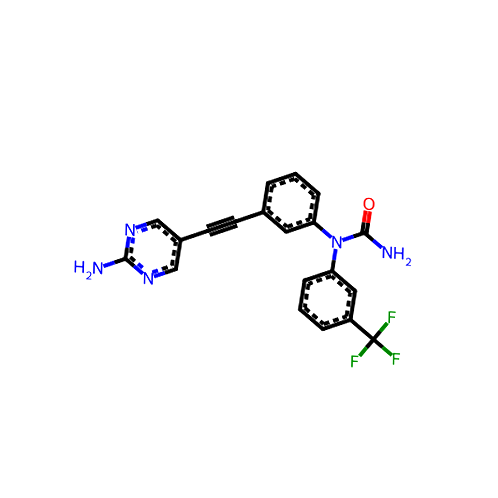 NC(=O)N(c1cccc(C#Cc2cnc(N)nc2)c1)c1cccc(C(F)(F)F)c1